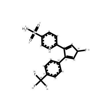 NS(=O)(=O)c1ccc(C2=CC(F)C=C2c2ccc(C(F)(F)F)cc2)nc1